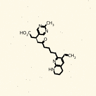 C=Cc1cc2c(nc1CCCCC(=O)C[C@@H](CC(=O)O)c1cnc(C)nc1)NCCC2